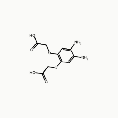 Nc1cc(OCC(=O)O)c(OCC(=O)O)cc1N